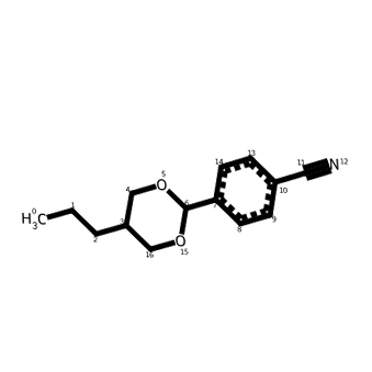 CCCC1COC(c2ccc(C#N)cc2)OC1